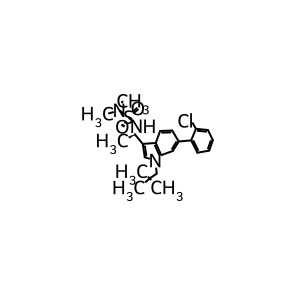 C[C@@H](NS(=O)(=O)N(C)C)c1cn(CC(C)(C)C)c2cc(-c3ccccc3Cl)ccc12